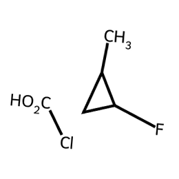 CC1CC1F.O=C(O)Cl